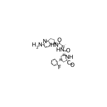 C[C@H](NC(=O)[C@H]1C[C@@H](c2ccccc2F)CC(=C=O)N1)C(=O)N[C@@H]1CCc2nc(N)ccc21